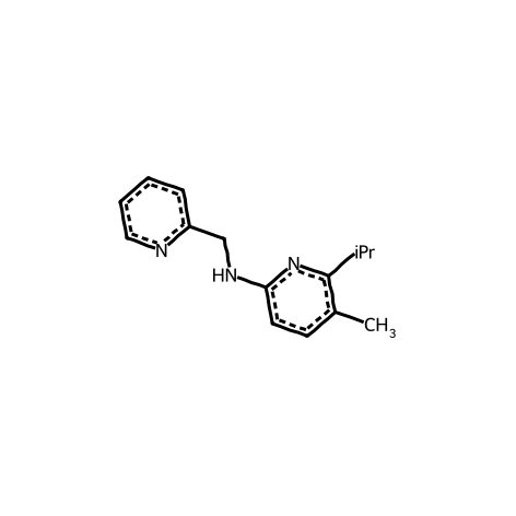 Cc1ccc(NCc2ccccn2)nc1C(C)C